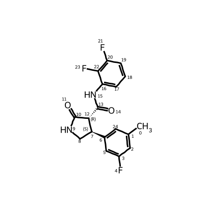 Cc1cc(F)cc([C@H]2CNC(=O)[C@@H]2C(=O)Nc2cccc(F)c2F)c1